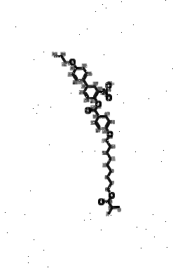 C=C(C)C(=O)OCCCCCCCCCOc1ccc(C(=O)Oc2ccc(-c3ccc(OCCC)cc3)cc2[N+](=O)[O-])cc1